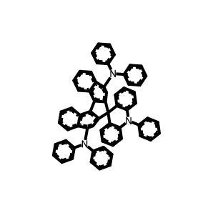 c1ccc(N2c3ccccc3C3(c4ccccc42)c2cc(N(c4ccccc4)c4ccccc4)c4ccccc4c2-c2c3cc(N(c3ccccc3)c3ccccc3)c3ccccc23)cc1